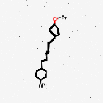 CCCOc1ccc(C=CC#CC=CC2CCC(CCC)CC2)cc1